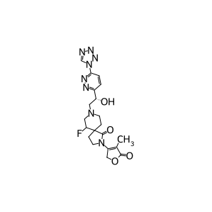 CC1=C(N2CCC3(CCN(C[C@@H](O)c4ccc(-n5cnnn5)nn4)CC3F)C2=O)COC1=O